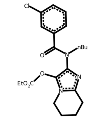 CCCCN(C(=O)c1cccc(Cl)c1)c1nc2n(c1OC(=O)OCC)CCCC2